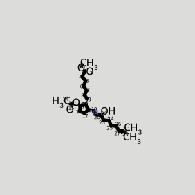 COC(=O)CCCCCC[C@H]1[C@@H](OC(C)=O)CC[C@@H]1/C=C/C(O)CCCCC=C(C)C